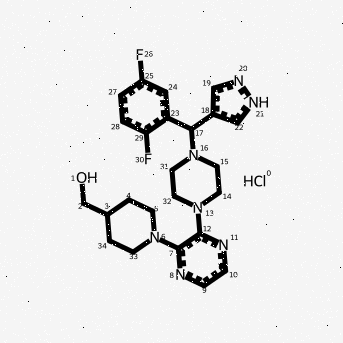 Cl.OCC1CCN(c2nccnc2N2CCN(C(c3cn[nH]c3)c3cc(F)ccc3F)CC2)CC1